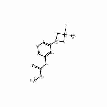 COC(=O)Cc1cccc(N2CC(F)(P)C2)n1